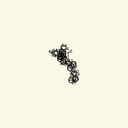 CC[C@@H](c1ccccc1)N([C@@H](Cc1ccc2c(c1)OC[C@H](c1ccc(OC(C)=O)cc1)O2)C(=O)OC)S(=O)(=O)c1ccc(C)cc1